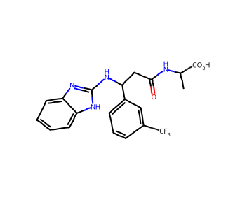 CC(NC(=O)CC(Nc1nc2ccccc2[nH]1)c1cccc(C(F)(F)F)c1)C(=O)O